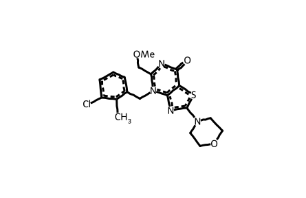 COCc1nc(=O)c2sc(N3CCOCC3)nc2n1Cc1cccc(Cl)c1C